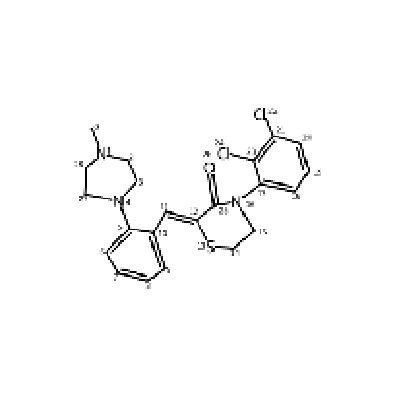 CN1CCN(c2ccccc2C=C2SCCN(c3cccc(Cl)c3Cl)C2=O)CC1